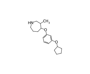 CC1CNCCCC1Oc1cccc(OC2CCCC2)c1